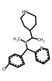 CC(C1CCNCC1)N(C)C(c1ccc(Cl)cc1)c1ccccn1